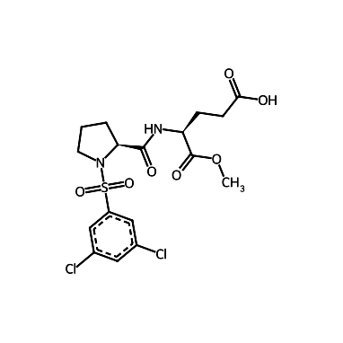 COC(=O)[C@H](CCC(=O)O)NC(=O)[C@@H]1CCCN1S(=O)(=O)c1cc(Cl)cc(Cl)c1